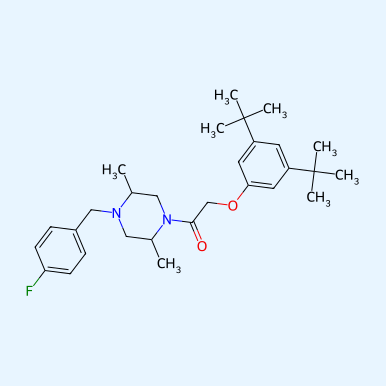 CC1CN(C(=O)COc2cc(C(C)(C)C)cc(C(C)(C)C)c2)C(C)CN1Cc1ccc(F)cc1